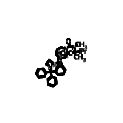 CC(C)C(C)(C(=O)O)N(C)C(=O)N1CCCN(C(=O)[C@H]2CCN2C(c2ccccc2)(c2ccccc2)c2ccccc2)CC1